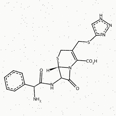 NC(C(=O)NC1C(=O)N2C(C(=O)O)=C(CSc3c[nH]nn3)CS[C@@H]12)c1ccccc1